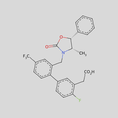 C[C@H]1[C@@H](c2ccccc2)OC(=O)N1Cc1cc(C(F)(F)F)ccc1-c1ccc(F)c(CC(=O)O)c1